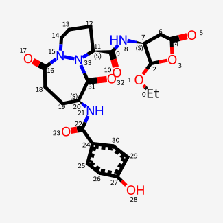 CCOC1OC(=O)C[C@@H]1NC(=O)[C@@H]1CCCN2C(=O)CC[C@H](NC(=O)c3ccc(O)cc3)C(=O)N12